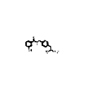 N#Cc1cccc(C(=O)NCc2ccc(CC(N)C(=O)O)cc2)c1